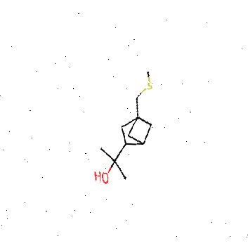 CSCC12CC(C1)C(C(C)(C)O)C2